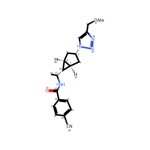 COCc1cn([C@@H]2C[C@@H]3[C@H](C2)[C@H]3C(C)NC(=O)c2ccc(C#N)cc2)nn1